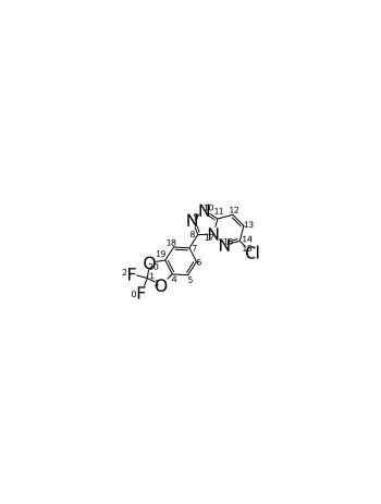 FC1(F)Oc2ccc(-c3nnc4ccc(Cl)nn34)cc2O1